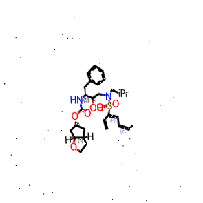 C=C/C(=C\C=C/C)S(=O)(=O)N(CC(C)C)C[C@@H](O)[C@H](Cc1ccccc1)NC(=O)O[C@@H]1C[C@@H]2CCO[C@@H]2C1